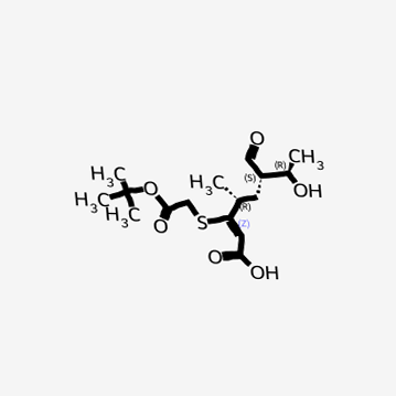 C[C@H](C[C@H](C=O)[C@@H](C)O)/C(=C/C(=O)O)SCC(=O)OC(C)(C)C